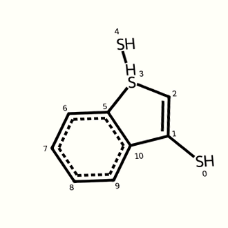 SC1=C[SH](S)c2ccccc21